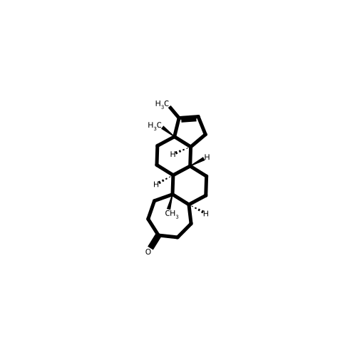 CC1=CC[C@H]2[C@@H]3CC[C@H]4CCC(=O)CC[C@]4(C)[C@H]3CC[C@]12C